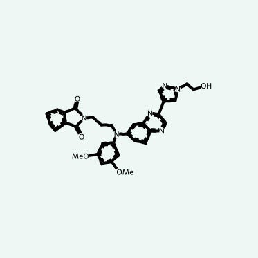 COc1cc(OC)cc(N(CCCN2C(=O)c3ccccc3C2=O)c2ccc3ncc(-c4cnn(CCO)c4)nc3c2)c1